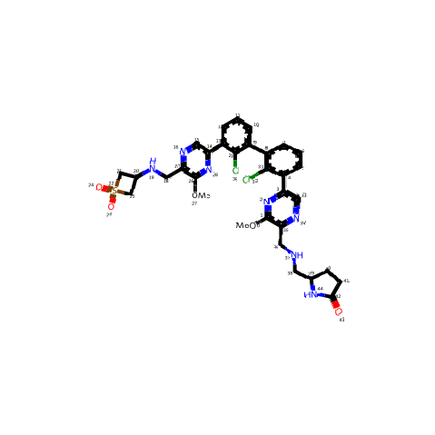 COc1nc(-c2cccc(-c3cccc(-c4cnc(CNC5CS(=O)(=O)C5)c(OC)n4)c3Cl)c2Cl)cnc1CNCC1CCC(=O)N1